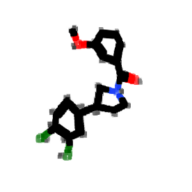 COc1cccc(C(=O)N2CC[C](c3ccc(Cl)c(Cl)c3)C2)c1